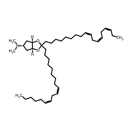 CC/C=C\C/C=C\C/C=C\CCCCCCCCC1(CCCCCCCC/C=C\C/C=C\CCCCC)O[C@H]2C[C@H](N(C)C)C[C@H]2O1